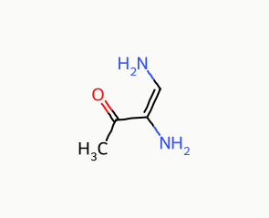 CC(=O)/C(N)=C\N